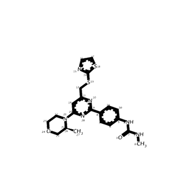 CNC(=O)Nc1ccc(-c2nc(CSc3nccs3)cc(N3CCOC[C@@H]3C)n2)cc1